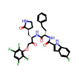 O=C(N[C@@H](CCc1ccccc1)C(=O)N[C@@H](C[C@@H]1CCNC1=O)C(=O)COc1c(F)c(F)cc(F)c1F)c1cc2cc(F)ccc2[nH]1